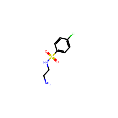 NCCNS(=O)(=O)c1ccc(Cl)cc1